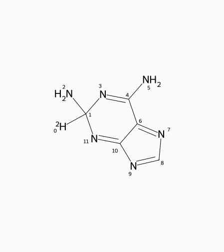 [2H]C1(N)N=C(N)C2=NC=NC2=N1